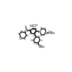 CCCCN1CCN(c2ccc(N(C)C3CCOCC3)cc2C2CCC(C(C)(C)C)CC2)CC1.Cl